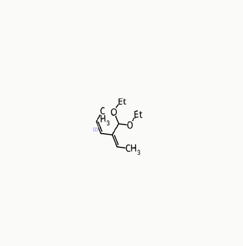 CC=C(/C=C\C)C(OCC)OCC